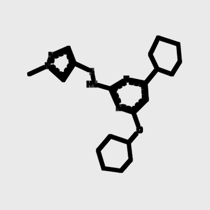 Cn1cc(SNc2nc(OC3CCCCC3)cc(C3CCCCC3)n2)cn1